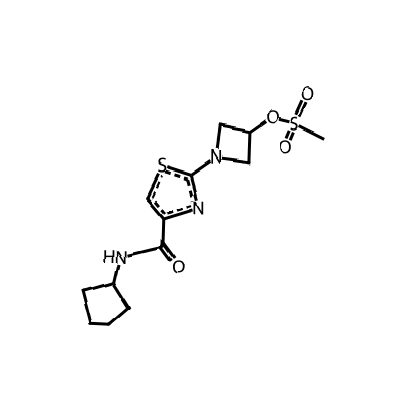 CS(=O)(=O)OC1CN(c2nc(C(=O)NC3CCCC3)cs2)C1